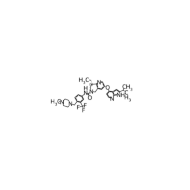 CC[C@H]1CN(C(=O)Nc2ccc(CN3CCN(C)CC3)c(C(F)(F)F)c2)Cc2cc(Oc3ccnc4[nH]c(C(C)C)cc34)cnc21